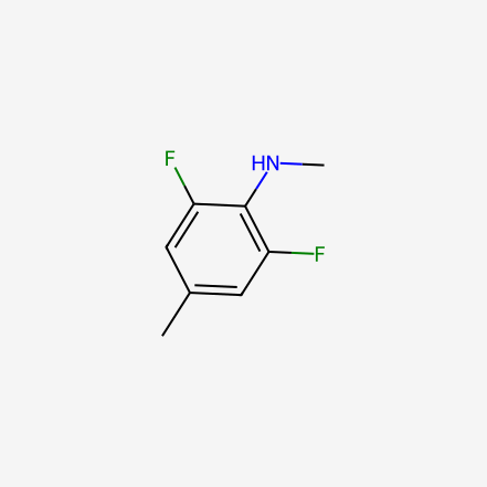 CNc1c(F)cc(C)cc1F